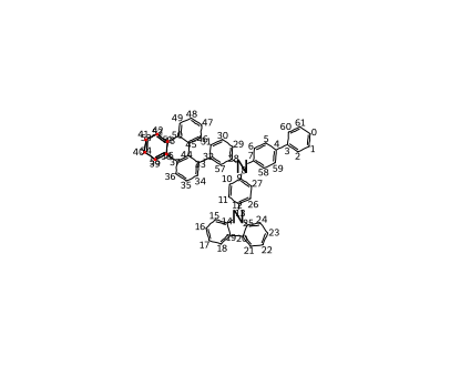 c1ccc(-c2ccc(N(c3ccc(-n4c5ccccc5c5ccccc54)cc3)c3cccc(-c4cccc(-c5ccccc5)c4-c4ccccc4-c4ccccc4)c3)cc2)cc1